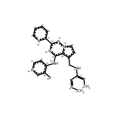 C/C=C(\C=N/C)NCc1ccn2nc(-c3ccccn3)nc(Nc3ccncc3F)c12